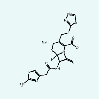 Nc1nc(CC(=O)NC2C(=O)N3C(C(=O)[O-])=C(CSc4nncs4)CS[C@@H]23)cs1.[Na+]